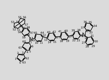 c1ccc(-c2ccc(N(c3ccc(-c4ccc(-c5ccc(-c6ccc(N(c7ccccc7)c7ccccc7)cc6)cc5)cc4)cc3)c3ccc(C45CC6CC4CC6C5)cc3)cc2)cc1